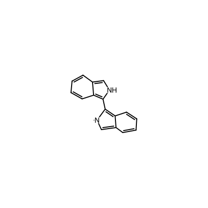 C1=c2ccccc2=C(c2[nH]cc3ccccc23)[N]1